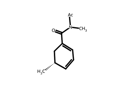 CC(=O)N(C)C(=O)C1=CC=C[C@H](C)C1